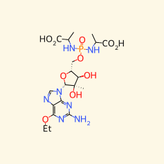 CCOc1nc(N)nc2c1ncn2[C@@H]1O[C@H](COP(=O)(NC(C)C(=O)O)NC(C)C(=O)O)[C@@H](O)[C@@]1(C)O